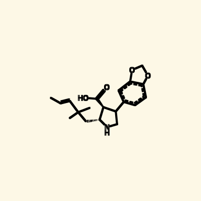 CC=CC(C)(C)C[C@H]1NCC(c2ccc3c(c2)OCO3)[C@@H]1C(=O)O